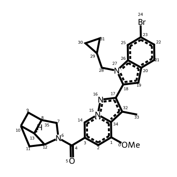 COc1cc(C(=O)N2CC3CC4CC2[C@H]43)cn2nc(-c3cc4ccc(Br)cc4n3CC3CC3)c(C)c12